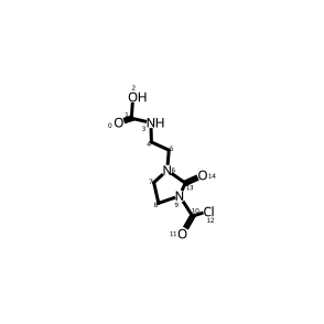 O=C(O)NCCN1CCN(C(=O)Cl)C1=O